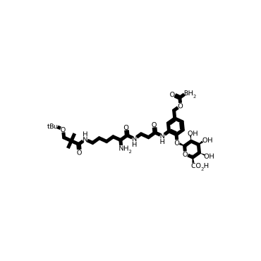 BC(=O)OCc1ccc(O[C@@H]2O[C@H](C(=O)O)[C@@H](O)[C@H](O)[C@H]2O)c(NC(=O)CCNC(=O)C(N)CCCCNC(=O)C(C)(C)COC(C)(C)C)c1